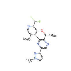 COC(=O)c1ncc(-c2ccn(C)n2)nc1-c1cc(C(F)F)ncc1OC